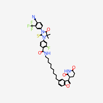 CC1(C)C(=O)N(c2ccc(C#N)c(C(F)(F)F)c2)C(=S)N1c1ccc(C(=O)NCCCCCCCCCc2ccc3occ(C4CCC(=O)NC4=O)c3c2)c(F)c1